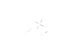 [F][Al+2].[F][Al+2].[O-][Si]([O-])([O-])[O-]